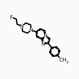 Cc1ccc(-c2cn3ccc(N4CCN(CCF)CC4)cc3n2)cc1